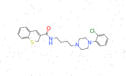 O=C(NCCCCN1CCN(c2ccccc2Cl)CC1)C1=Cc2ccccc2SC1